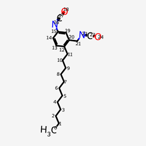 CCCCCCCCCCCCc1ccc(N=C=O)cc1CN=C=O